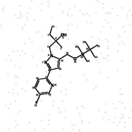 CCC(C)(O)Cn1nc(-c2ccc(F)cn2)cc1CO[Si](C)(C)C(C)(C)C